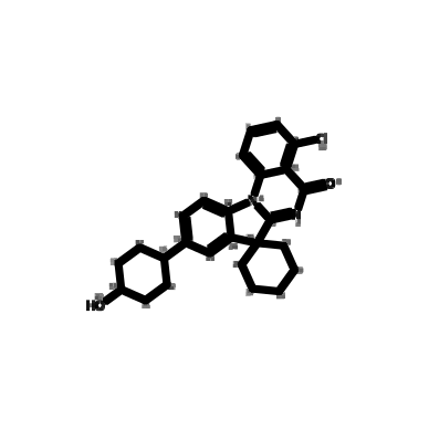 O=c1nc2n(c3cccc(Cl)c13)-c1ccc(C3CCC(O)CC3)cc1C21CCCCC1